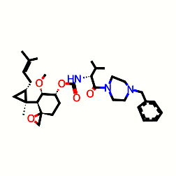 CO[C@@H]1[C@H](OC(=O)N[C@@H](C(=O)N2CCN(Cc3ccccc3)CC2)C(C)C)CC[C@]2(CO2)[C@H]1[C@@]1(C)C[C@@H]1CC=C(C)C